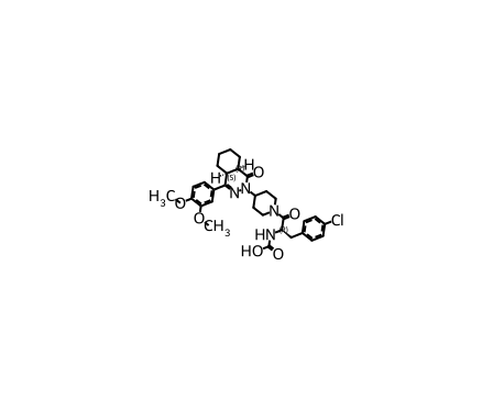 COc1ccc(C2=NN(C3CCN(C(=O)[C@@H](Cc4ccc(Cl)cc4)NC(=O)O)CC3)C(=O)[C@@H]3CCCC[C@H]23)cc1OC